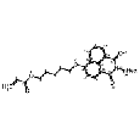 C=CC(=O)OCCCCCOc1ccc2c3c(cccc13)C(=O)N(CCCCCC)C2=O